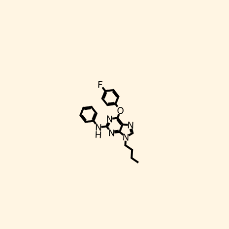 CCCCn1cnc2c(Oc3ccc(F)cc3)nc(Nc3ccccc3)nc21